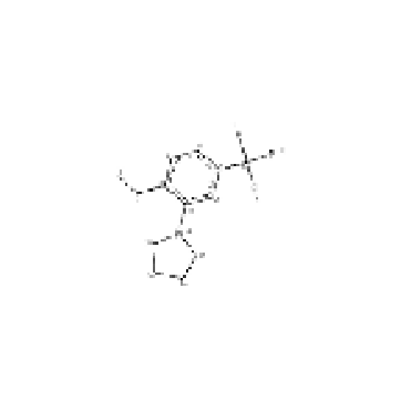 CCc1ccc(C(F)(F)F)cc1N1CCCC1